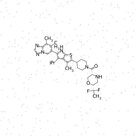 Cc1c(-c2[nH]c3sc(C4CCN(C(=O)[C@H]5CO[C@@H](C(C)(F)F)CN5)CC4)c(C)c3c2C(C)C)cn2ncnc2c1C